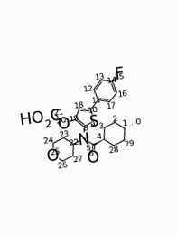 C[C@H]1CC[C@H](C(=O)N(c2sc(-c3ccc(F)cc3)cc2OC(=O)O)C2CCOCC2)CC1